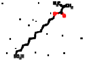 C=C(C)C(=O)OCCCCCCCCCCCCS(=O)(=O)O